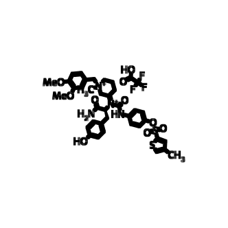 COc1ccc(C[N+]2(C)CCC/C(=[N+](\C(=O)Nc3ccc(OS(=O)(=O)c4cc(C)cs4)cc3)[C@@H](Cc3ccc(O)cc3)C(N)=O)C2)cc1OC.O=C(O)C(F)(F)F